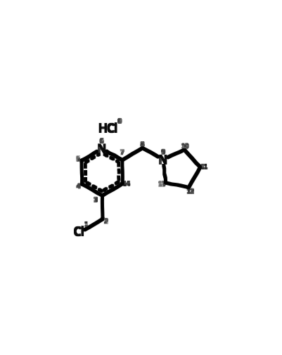 Cl.ClCc1ccnc(CN2CCCC2)c1